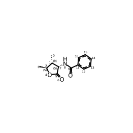 C[C@H]1[C@H](C)OC(=O)[C@H]1NC(=O)c1ccccc1